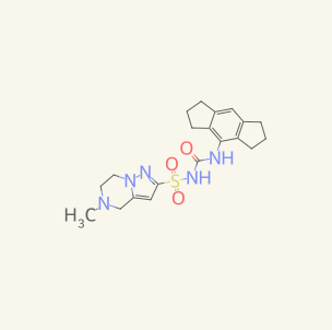 CN1CCn2nc(S(=O)(=O)NC(=O)Nc3c4c(cc5c3CCC5)CCC4)cc2C1